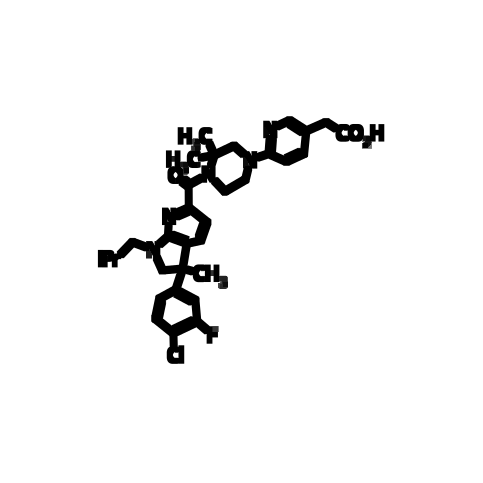 CC(C)CN1CC(C)(c2ccc(Cl)c(F)c2)c2ccc(C(=O)N3CCN(c4ccc(CC(=O)O)cn4)CC3(C)C)nc21